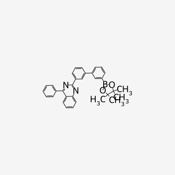 CC1(C)OB(c2cccc(-c3cccc(-c4nc(-c5ccccc5)c5ccccc5n4)c3)c2)OC1(C)C